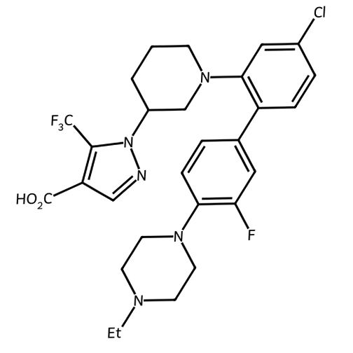 CCN1CCN(c2ccc(-c3ccc(Cl)cc3N3CCCC(n4ncc(C(=O)O)c4C(F)(F)F)C3)cc2F)CC1